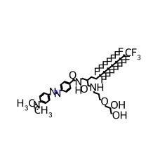 CN(C)c1ccc(/N=N/c2ccc(C(=O)NCC(CCC(F)(F)C(F)(F)C(F)(F)C(F)(F)C(F)(F)C(F)(F)C(F)(F)C(F)(F)F)C(=O)NCCCOCC(O)CO)cc2)cc1